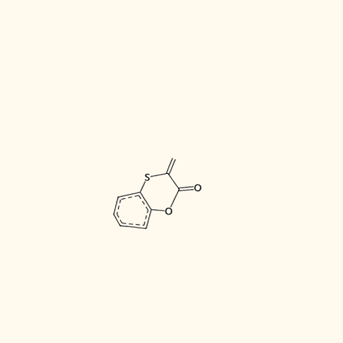 C=C1Sc2ccccc2OC1=O